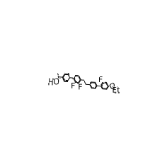 CCOc1ccc(-c2ccc(CCc3ccc(-c4ccc(C(C)O)cc4)c(F)c3F)cc2)c(F)c1